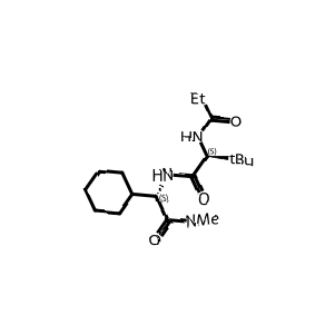 CCC(=O)N[C@H](C(=O)N[C@H](C(=O)NC)C1CCCCC1)C(C)(C)C